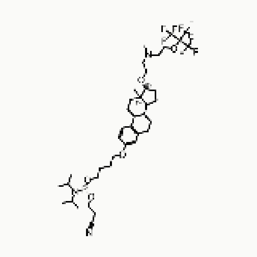 CC(C)N(C(C)C)P(OCCC#N)OCCCCOc1ccc2c(c1)CCC1C2CC[C@@]2(C)C1CC[C@@H]2OCCN(C)CCOC(C(F)(F)F)(C(F)(F)F)C(F)(F)F